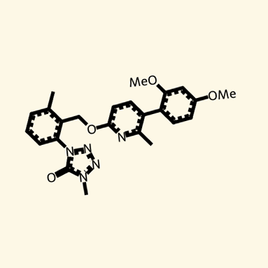 COc1ccc(-c2ccc(OCc3c(C)cccc3-n3nnn(C)c3=O)nc2C)c(OC)c1